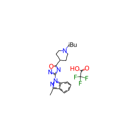 CCC(C)N1CCC(c2nc(-n3nc(C)c4ccccc43)no2)CC1.O=C(O)C(F)(F)F